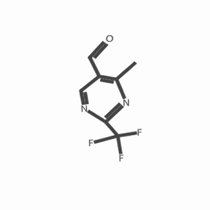 Cc1nc(C(F)(F)F)ncc1C=O